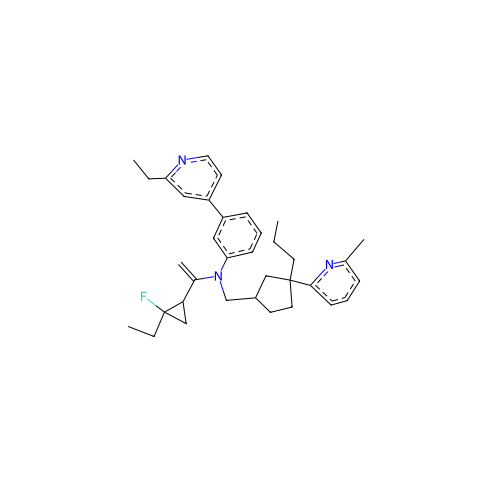 C=C(C1CC1(F)CC)N(CC1CCC(CCC)(c2cccc(C)n2)C1)c1cccc(-c2ccnc(CC)c2)c1